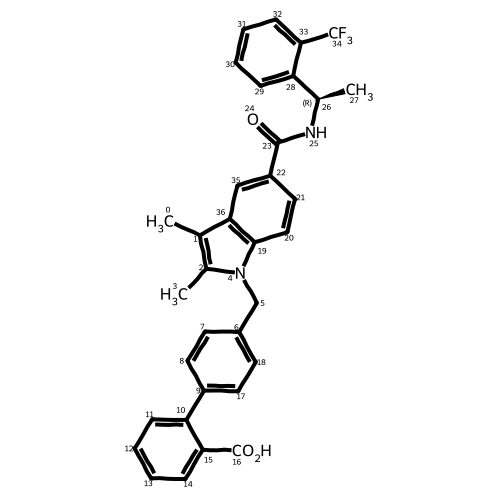 Cc1c(C)n(Cc2ccc(-c3ccccc3C(=O)O)cc2)c2ccc(C(=O)N[C@H](C)c3ccccc3C(F)(F)F)cc12